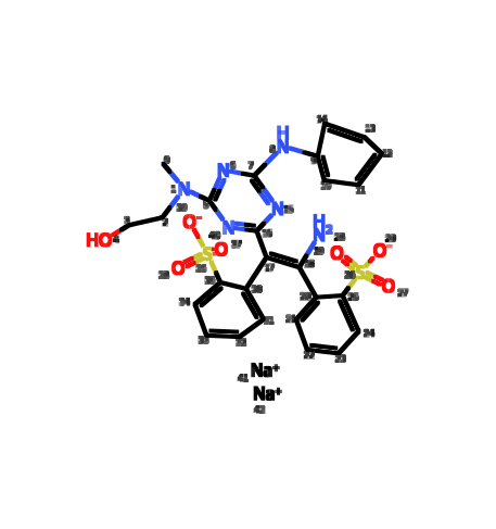 CN(CCO)c1nc(Nc2ccccc2)nc(C(=C(N)c2ccccc2S(=O)(=O)[O-])c2ccccc2S(=O)(=O)[O-])n1.[Na+].[Na+]